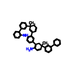 CC1(c2cccc(-c3ccccc3N)c2)C=C(c2cccc(C3=C(N)C=CC(C)(c4cccc(-c5ccccc5)c4)C3)c2)C=CC1